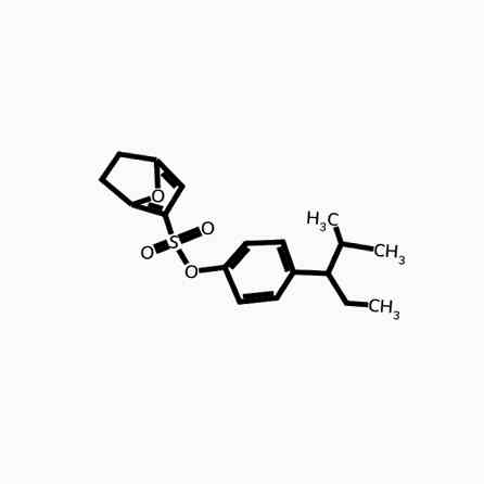 CCC(c1ccc(OS(=O)(=O)c2cc3oc2CC3)cc1)C(C)C